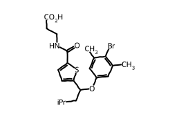 Cc1cc(OC(CC(C)C)c2ccc(C(=O)NCCC(=O)O)s2)cc(C)c1Br